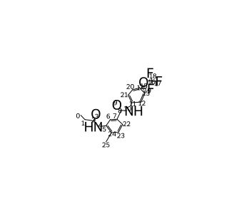 CCC(=O)Nc1cc(C(=O)Nc2ccc(OC(F)(F)F)cc2)ccc1C